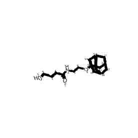 O=C(CCCO)NCCOC12CC3CC(CC(C3)C1)C2